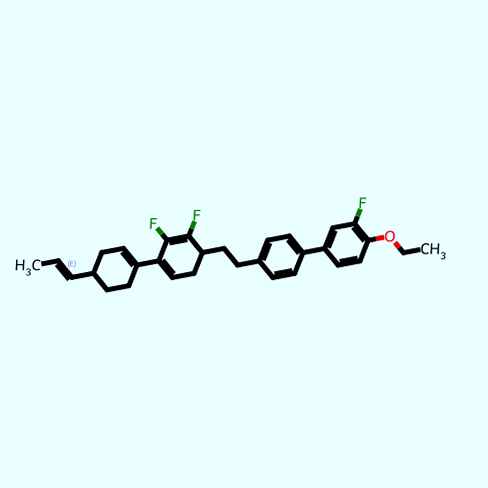 C/C=C/C1CC=C(C2=CCC(CCc3ccc(-c4ccc(OCC)c(F)c4)cc3)C(F)=C2F)CC1